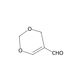 O=CC1=COCOC1